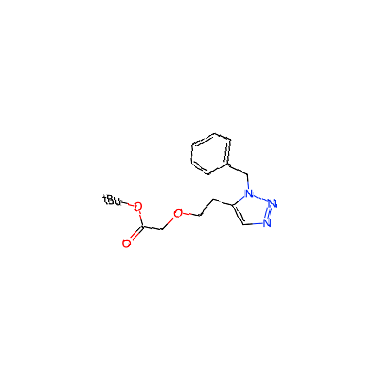 CC(C)(C)OC(=O)COCCc1cnnn1Cc1ccccc1